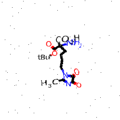 CC1=NC(=O)C(=O)N1CCCCC(N)(C(=O)O)C(=O)OC(C)(C)C